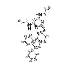 C=CCNc1nc(NCC=C)nc(SC2CCN(CC(c3ccccc3)c3ccccc3)CC2)n1